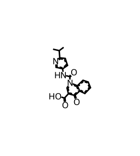 CC(C)c1ccc(NC(=O)n2cc(C(=O)O)c(=O)c3ccccc32)cn1